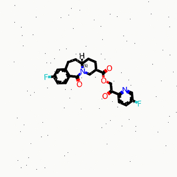 O=C(COC(=O)C1CC[C@H]2CCc3cc(F)ccc3C(=O)N2C1)c1ccc(F)cn1